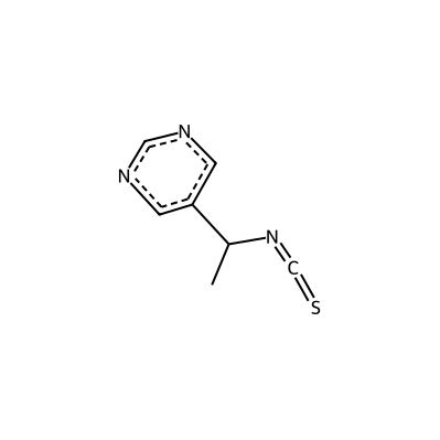 CC(N=C=S)c1cncnc1